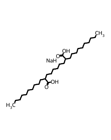 CCCCCCCCCCC(CCCCCCC(CCCCCCCCCC)C(=O)O)C(=O)O.[NaH]